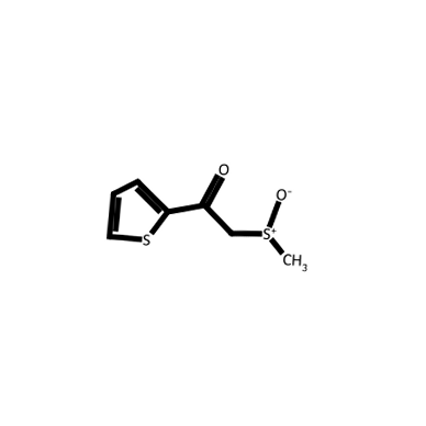 C[S+]([O-])CC(=O)c1cccs1